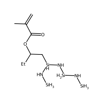 C=C(C)C(=O)OC(CC)C[SiH](N[SiH3])N[SiH2]N[SiH3]